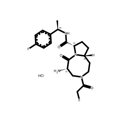 C[C@@H](NC(=O)[C@@H]1CC[C@@H]2CCN(C(=O)CF)C[C@H](N)C(=O)N21)c1ccc(F)cc1.Cl